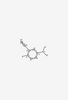 [CH2]C(C)c1ccc(C)c(C#N)c1